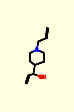 C=CCN1CCC(C(O)C=C)CC1